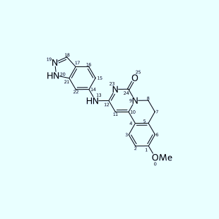 COc1ccc2c(c1)CCn1c-2cc(Nc2ccc3cn[nH]c3c2)nc1=O